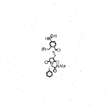 CNC(=O)[C@H](Cc1ccccc1)N1C(=O)C[C@@H](CSC(=O)c2ccc(NO)cc2CC(C)C)C1=O